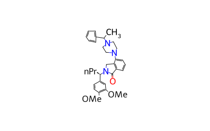 [CH2]CC[C@H](c1ccc(OC)c(OC)c1)N1Cc2c(cccc2N2CCN(C(C)c3ccccc3)CC2)C1=O